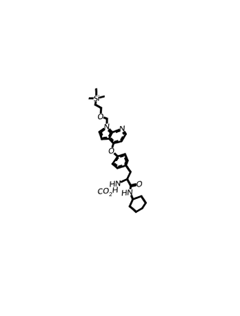 C[Si](C)(C)CCOCn1ccc2c(Oc3ccc(CC(NC(=O)O)C(=O)NC4CCCCC4)cc3)ccnc21